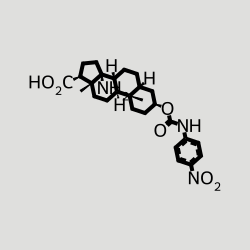 C[C@]12CC[C@H](OC(=O)Nc3ccc([N+](=O)[O-])cc3)C[C@H]1CC[C@@H]1[C@@H]2CC[C@]2(C)[C@@H](C(=O)O)CC[C@]12N